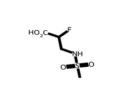 CS(=O)(=O)NCC(F)C(=O)O